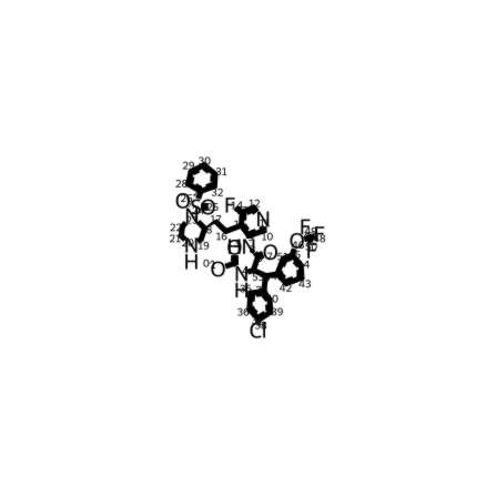 COC(=O)NC(C(=O)Nc1cncc(F)c1CC[C@H]1CNCCN1S(=O)(=O)c1ccccc1)C(c1ccc(Cl)cc1)c1cccc(OC(F)(F)F)c1